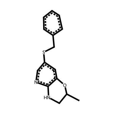 CC1CNc2ncc(SCc3ccccc3)cc2O1